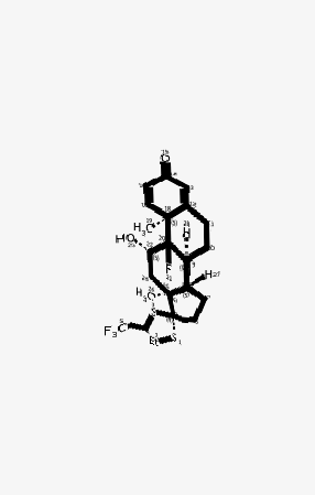 CCS[C@@]1(SCC(F)(F)F)CC[C@H]2[C@@H]3CCC4=CC(=O)C=C[C@]4(C)C3(F)[C@@H](O)C[C@@]21C